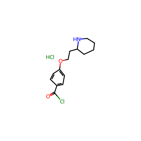 Cl.O=C(Cl)c1ccc(OCCC2CCCCN2)cc1